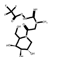 CN(CC(=O)N1C[C@H](O)[C@@H](O)[C@@H](O)C1CO)C(=N)NOC(=O)C(F)(F)F